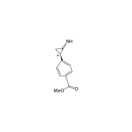 COC(=O)c1ccc([C@H]2CC2=N)cc1